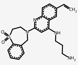 C=Cc1ccc2nc(N3CCS(=O)(=O)c4ccccc4C3)cc(NCCCN)c2c1